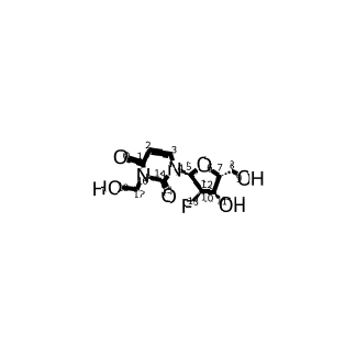 O=c1ccn([C@H]2O[C@H](CO)[C@@H](O)[C@H]2F)c(=O)n1CO